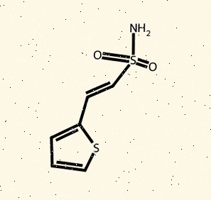 NS(=O)(=O)C=Cc1cccs1